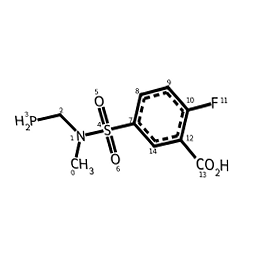 CN(CP)S(=O)(=O)c1ccc(F)c(C(=O)O)c1